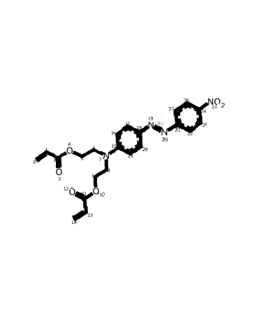 C=CC(=O)OCCN(CCOC(=O)C=C)c1ccc(/N=N/c2ccc([N+](=O)[O-])cc2)cc1